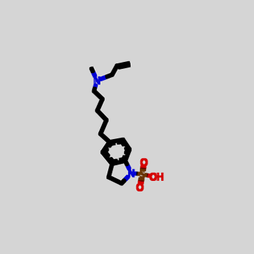 C=CCN(C)CCCCCc1ccc2c(c1)CCN2S(=O)(=O)O